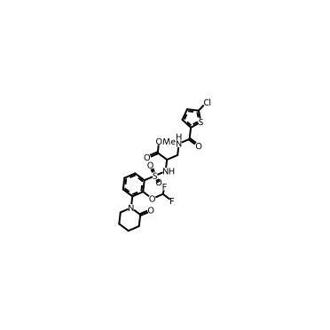 COC(=O)C(CNC(=O)c1ccc(Cl)s1)NS(=O)(=O)c1cccc(N2CCCCC2=O)c1OC(F)F